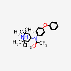 CC1(C)CC(N(C(=O)C(F)(F)F)c2ccc(Oc3ccccc3)cc2)CC(C)(C)N1